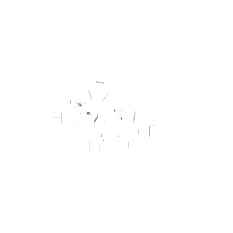 CC(C)OC(=O)C1C(C(F)(F)F)=C(C2CC2)ON1C(=O)c1ccccc1S(C)(=O)=O